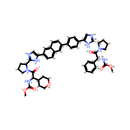 COC(=O)NC(C(=O)N1CCCC1c1ncc(-c2ccc3cc(-c4ccc(-c5cnc([C@@H]6CCCN6C(=O)[C@H](NC(=O)OC)c6ccccc6)[nH]5)cc4)ccc3c2)[nH]1)C1CCOCC1